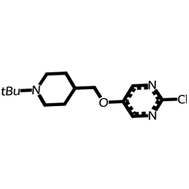 CC(C)(C)N1CCC(COc2cnc(Cl)nc2)CC1